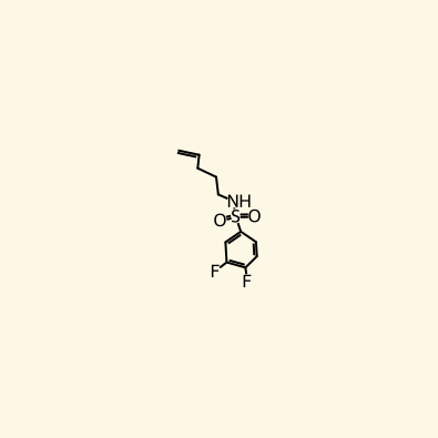 C=CCCCNS(=O)(=O)c1ccc(F)c(F)c1